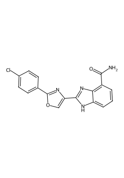 NC(=O)c1cccc2[nH]c(-c3coc(-c4ccc(Cl)cc4)n3)nc12